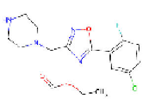 CCOC=O.Fc1ccc(Cl)cc1-c1nc(CN2CCNCC2)no1